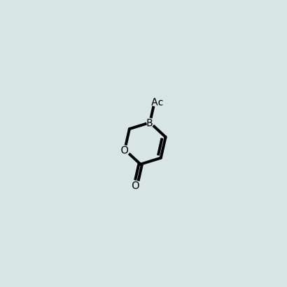 CC(=O)B1C=CC(=O)OC1